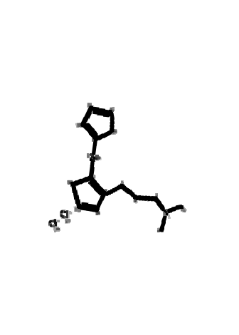 CN(C)CCCC1=[C]([Zr+2][C]2=CC=CC2)CC=C1.[Cl-].[Cl-]